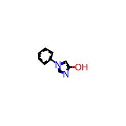 Oc1cn(-c2ccccc2)cn1